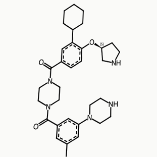 Cc1cc(C(=O)N2CCN(C(=O)c3ccc(O[C@H]4CCNC4)c(C4CCCCC4)c3)CC2)cc(N2CCNCC2)c1